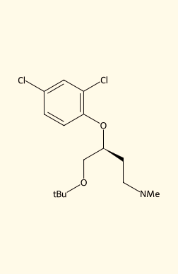 CNCC[C@@H](COC(C)(C)C)Oc1ccc(Cl)cc1Cl